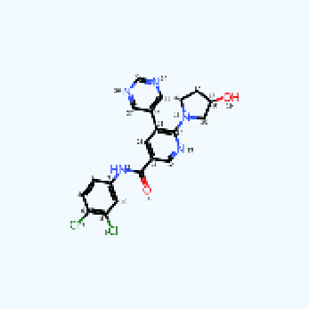 O=C(Nc1ccc(Cl)c(Cl)c1)c1cnc(N2CC[C@@H](O)C2)c(-c2cncnc2)c1